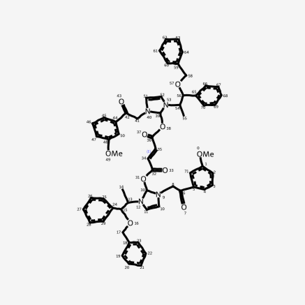 COc1cccc(C(=O)CN2C=CN(C(C)C(OCc3ccccc3)c3ccccc3)C2OC(=O)/C=C/C(=O)OC2N(CC(=O)c3cccc(OC)c3)C=CN2C(C)C(OCc2ccccc2)c2ccccc2)c1